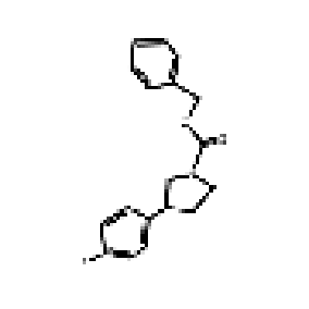 O=C(OCc1ccccc1)N1CCC(c2ccc(F)cc2)C1